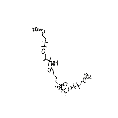 CC(COC(C)(C)C(C)(C)CCOC(C)(C)C)C(C)(C)NC(=O)CCCCC(=O)NC(C)(C)C(C)COC(C)(C)C(C)(C)CCOC(C)(C)C